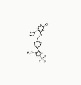 Cn1cc(C(F)(F)F)nc1-c1ccc(COc2nc(Cl)ncc2C2CCC2)cc1